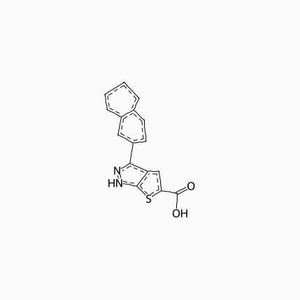 O=C(O)c1cc2c(-c3ccc4ccccc4c3)n[nH]c2s1